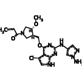 C=CC(=O)N1C[C@H](COc2nc(Nc3cnn(N)c3)nc3[nH]cc(Cl)c23)[C@@H](OC)C1